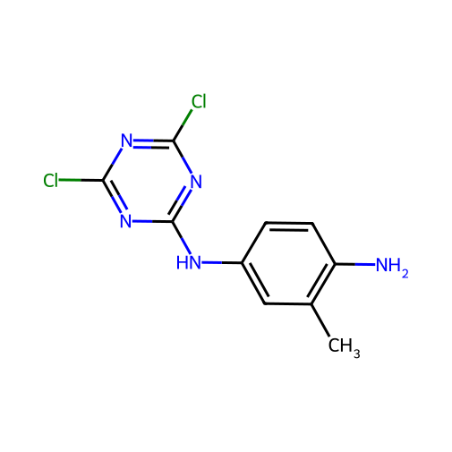 Cc1cc(Nc2nc(Cl)nc(Cl)n2)ccc1N